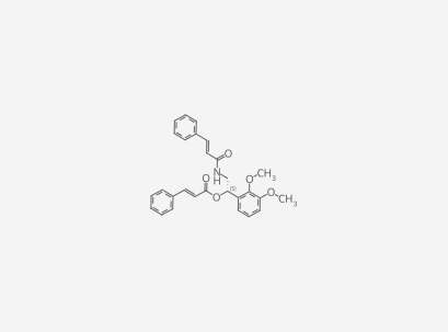 COc1cccc([C@@H](CNC(=O)C=Cc2ccccc2)OC(=O)C=Cc2ccccc2)c1OC